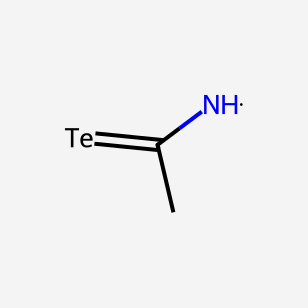 CC([NH])=[Te]